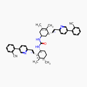 C[C@H]1[C@H](/C=C/c2ccc(-c3ccccc3C#N)cn2)[C@H](NC(=O)NC2C[C@@H](/C=C/c3ccc(-c4ccccc4C#N)cn3)[C@H](C)[C@@H](C)C2)CC[C@@H]1C